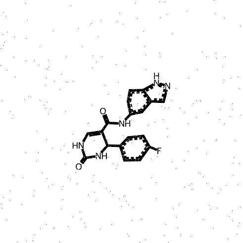 O=C1NC=C(C(=O)Nc2ccc3[nH]ncc3c2)C(c2ccc(F)cc2)N1